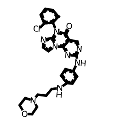 O=c1c2cnc(Nc3ccc(NCCCN4CCOCC4)cc3)nc2n2ccnc2n1-c1ccccc1Cl